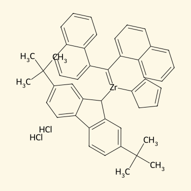 CC(C)(C)c1ccc2c(c1)[CH]([Zr]([C]1=CC=CC1)=[C](c1cccc3ccccc13)c1cccc3ccccc13)c1cc(C(C)(C)C)ccc1-2.Cl.Cl